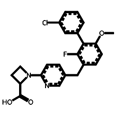 COc1ccc(Cc2ccc(N3CCC3C(=O)O)nc2)c(F)c1-c1cccc(Cl)c1